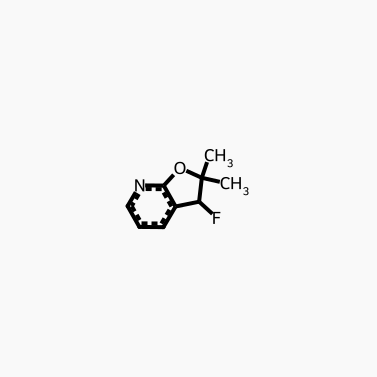 CC1(C)Oc2ncccc2C1F